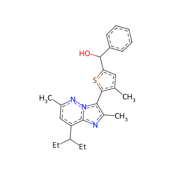 CCC(CC)c1cc(C)nn2c(-c3sc(C(O)c4ccccc4)cc3C)c(C)nc12